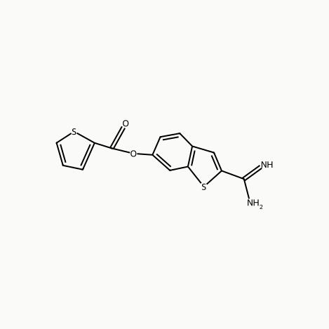 N=C(N)c1cc2ccc(OC(=O)c3cccs3)cc2s1